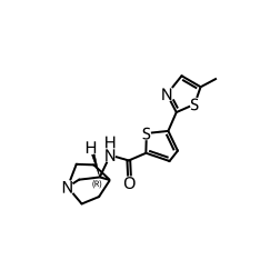 Cc1cnc(-c2ccc(C(=O)N[C@H]3CN4CCC3CC4)s2)s1